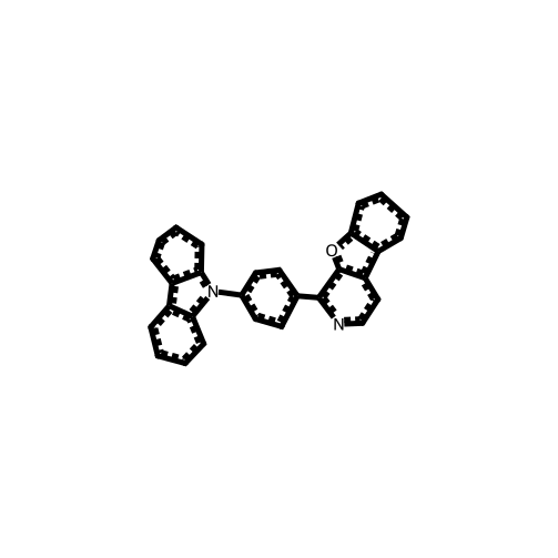 c1ccc2c(c1)oc1c(-c3ccc(-n4c5ccccc5c5ccccc54)cc3)nccc12